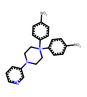 O=[N+]([O-])c1ccc([N+]2(c3ccc([N+](=O)[O-])cc3)CCN(c3cccnc3)CC2)cc1